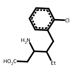 CCC(Cc1ccccc1Cl)C(N)CC(=O)O